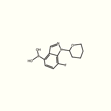 OB(O)c1ccc(F)c2c1cnn2C1CCCCO1